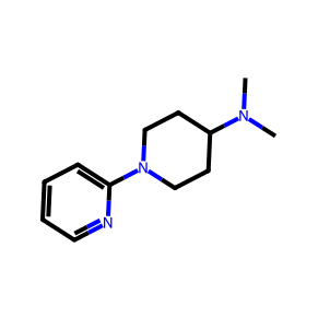 CN(C)C1CCN(c2ccccn2)CC1